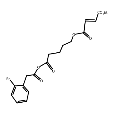 CCOC(=O)/C=C/C(=O)OCCCCC(=O)OC(=O)Cc1ccccc1Br